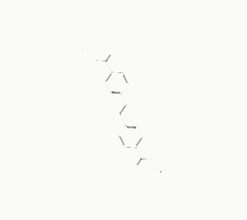 CCCOC(=O)c1ccc(C=Cc2ccc(C(=O)OCCC)cc2)cc1